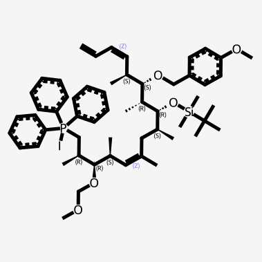 C=C/C=C\[C@H](C)[C@H](OCc1ccc(OC)cc1)[C@@H](C)[C@H](O[Si](C)(C)C(C)(C)C)[C@@H](C)C/C(C)=C\[C@H](C)[C@@H](OCOC)[C@@H](C)CP(I)(c1ccccc1)(c1ccccc1)c1ccccc1